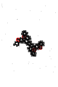 c1ccc2c(c1)oc1ccc(-c3cc4cc5c(cc(-c6ccc7oc8ccccc8c7c6)c6c5ccc5c7ccccc7oc56)cc4c4ccc5c6ccccc6oc5c34)cc12